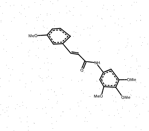 COc1cccc(/C=C/C(=O)Nc2cc(OC)c(OC)c(OC)c2)c1